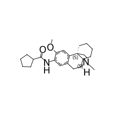 COc1cc2c(cc1NC(=O)C1CCCC1)C[C@H]1C3CCCC[C@@]23CCN1C